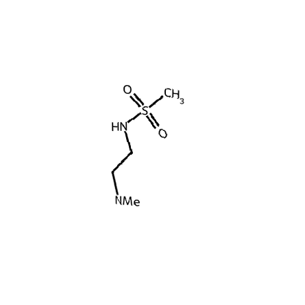 [CH2]NCCNS(C)(=O)=O